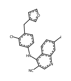 N#Cc1cnc2cc(I)ccc2c1Nc1ccc(Cc2ccoc2)c(Cl)c1